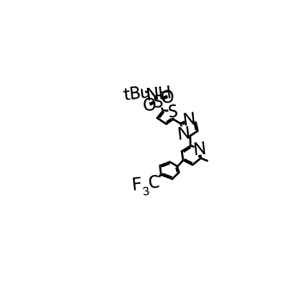 Cc1cc(-c2ccc(C(F)(F)F)cc2)cc(-c2ccnc(-c3ccc(S(=O)(=O)NC(C)(C)C)s3)n2)n1